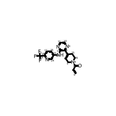 C=CC(=O)N1CC=C(c2nccnc2Nc2ccc(C(F)(F)F)nc2)CC1